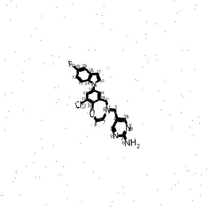 Nc1ncc(CN2CCOc3c(Cl)cc(-n4ccc5cc(F)ccc54)cc3C2)cn1